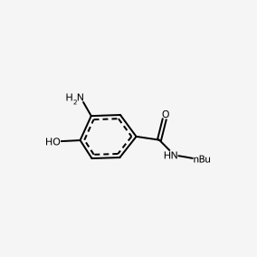 CCCCNC(=O)c1ccc(O)c(N)c1